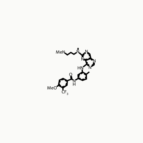 CNCCCN(C)c1ncc2ncnc(Nc3cc(NC(=O)c4ccc(OC)c(C(F)(F)F)c4)ccc3C)c2n1